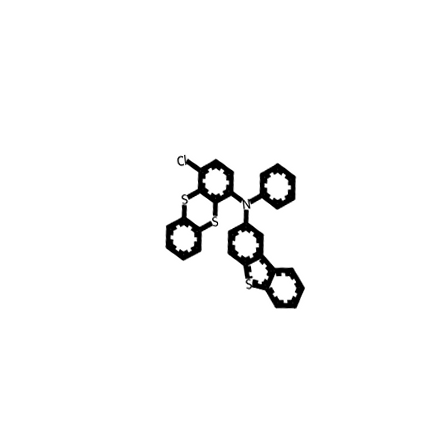 Clc1ccc(N(c2ccccc2)c2ccc3sc4ccccc4c3c2)c2c1Sc1ccccc1S2